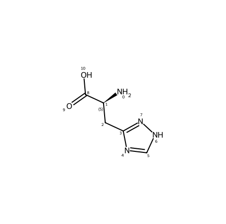 N[C@@H](Cc1nc[nH]n1)C(=O)O